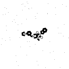 CCN1C(=O)N(C2Cc3ccccc3C2)C(=O)C12CCN(Cc1cccc(N3CCCC3)c1)CC2